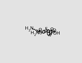 C[C@H]1CCc2c(N3CCC(OC(=O)[C@@H](N)CCCCN)CC3)c(F)cc3c(=O)c(C(=O)O)cn1c23